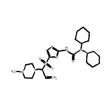 C=CC(N1CCN(C)CC1)S(=O)(=O)c1cnc(NC(=O)N(C2CCCCC2)C2CCCCC2)s1